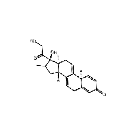 C[C@@H]1C[C@H]2C3=CCC4=CC(=O)C=C[C@]4(C)C3=CC[C@]2(C)[C@@]1(O)C(=O)CO